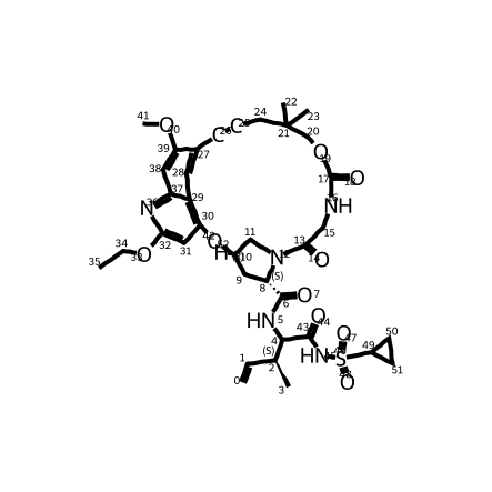 C=C[C@H](C)C(NC(=O)[C@@H]1C[C@@H]2CN1C(=O)CNC(=O)OCC(C)(C)CCCc1cc3c(cc(OCC)nc3cc1OC)O2)C(=O)NS(=O)(=O)C1CC1